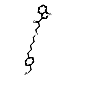 CC(C)Cc1ccc(CCCCCOCCC(=O)c2c[nH]c3ccccc23)cc1